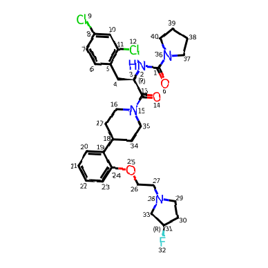 O=C(N[C@H](Cc1ccc(Cl)cc1Cl)C(=O)N1CCC(c2ccccc2OCCN2CC[C@@H](F)C2)CC1)N1CCCC1